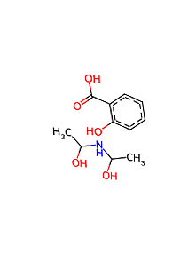 CC(O)NC(C)O.O=C(O)c1ccccc1O